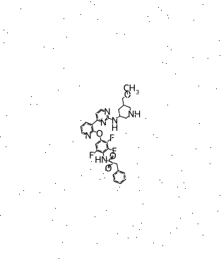 COCC1CNCC(Nc2nccc(-c3cccnc3Oc3cc(F)c(NS(=O)(=O)Cc4ccccc4)c(F)c3F)n2)C1